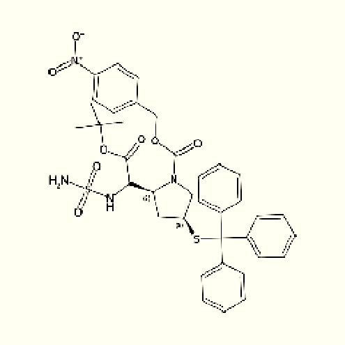 CC(C)(C)OC(=O)C(NS(N)(=O)=O)[C@@H]1C[C@H](SC(c2ccccc2)(c2ccccc2)c2ccccc2)CN1C(=O)OCc1ccc([N+](=O)[O-])cc1